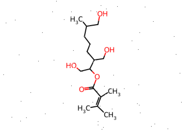 CC(C)=C(C)C(=O)OC(CO)C(CO)CCCC(C)CO